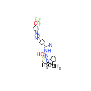 CC(C)c1ccccc1N1/C(=N/C(O)NCC(C#N)c2ccc(-c3ncn(-c4ccc(OC(F)(F)F)cc4)n3)cc2)SCCC1C